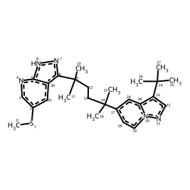 CSc1cnc2[nH]nc(C(C)(C)CCC(C)(C)c3ccn4ncc(C(C)(C)C)c4c3)c2c1